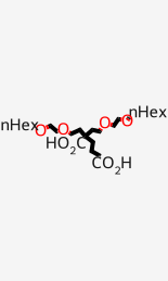 CCCCCCOCCOCCC(CCCC(=O)O)(CCOCCOCCCCCC)C(=O)O